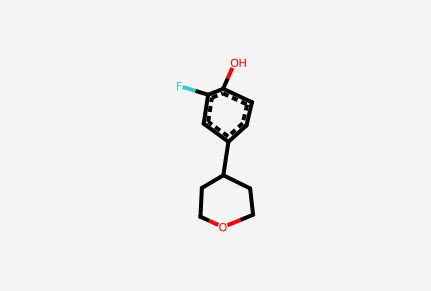 Oc1ccc(C2CCOCC2)cc1F